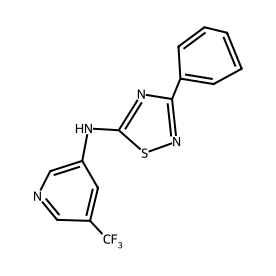 FC(F)(F)c1cncc(Nc2nc(-c3ccccc3)ns2)c1